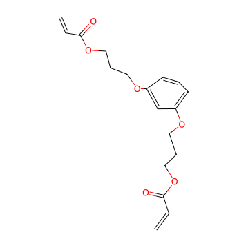 C=CC(=O)OCCCOc1cccc(OCCCOC(=O)C=C)c1